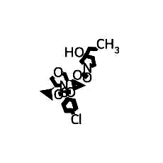 CCCC1(O)CCN(C(=O)OC2([C@H]3COC[C@@H](C4CC4)N3S(=O)(=O)c3ccc(Cl)cc3)CC2)C1